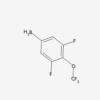 Bc1cc(F)c(OC(F)(F)F)c(F)c1